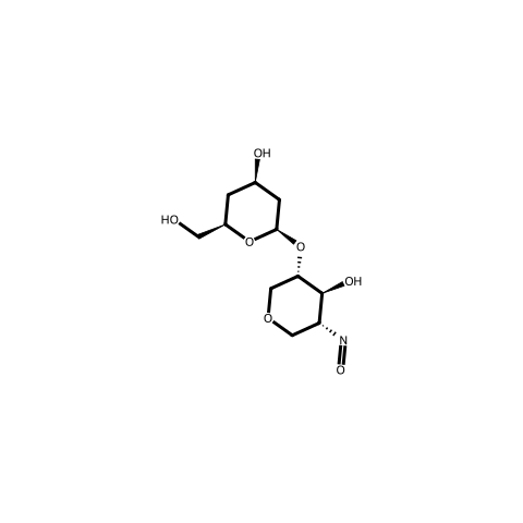 O=N[C@@H]1COC[C@H](O[C@@H]2C[C@H](O)C[C@H](CO)O2)[C@H]1O